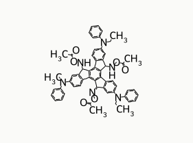 CCN(c1ccccc1)c1ccc2c(c1)/C(=N\OC(C)=O)c1c-2c2c(c3c1-c1ccc(N(C)c4ccccc4)cc1C3NOC(C)=O)-c1ccc(N(CC)c3ccccc3)cc1C2NOC(C)=O